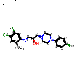 O=[N+]([O-])c1cc(Cl)c(Cl)cc1NCC(O)CN1CCN(c2ccc(F)cc2)CC1